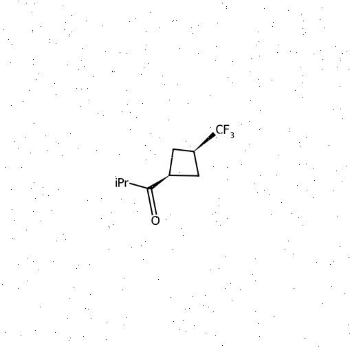 CC(C)C(=O)[C@H]1C[C@@H](C(F)(F)F)C1